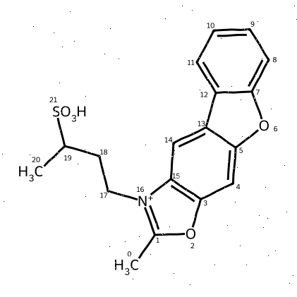 Cc1oc2cc3oc4ccccc4c3cc2[n+]1CCC(C)S(=O)(=O)O